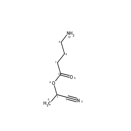 CC(C#N)OC(=O)CCCN